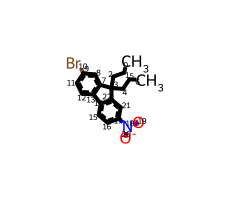 CCCC1(CCC)c2cc(Br)ccc2-c2ccc([N+](=O)[O-])cc21